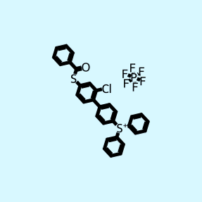 F[P-](F)(F)(F)(F)F.O=C(Sc1ccc(-c2ccc([S+](c3ccccc3)c3ccccc3)cc2)c(Cl)c1)c1ccccc1